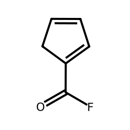 O=C(F)C1=CC=CC1